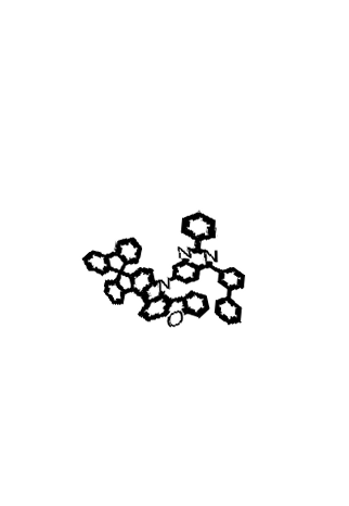 c1ccc(-c2cccc(-c3nc(-c4ccccc4)nc4cc(-n5c6ccc7c(c6c6ccc8oc9ccccc9c8c65)-c5ccccc5C75c6ccccc6-c6ccccc65)ccc34)c2)cc1